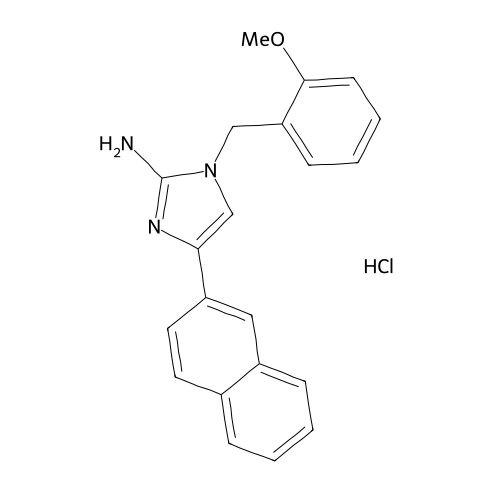 COc1ccccc1Cn1cc(-c2ccc3ccccc3c2)nc1N.Cl